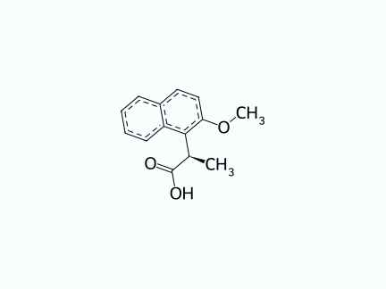 COc1ccc2ccccc2c1[C@@H](C)C(=O)O